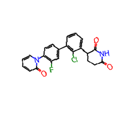 O=C1CCC(c2cccc(-c3ccc(-n4ccccc4=O)c(F)c3)c2Cl)C(=O)N1